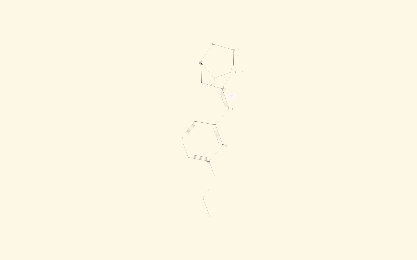 CCOc1cncc(/C=C2\CC3CCN2C3)c1